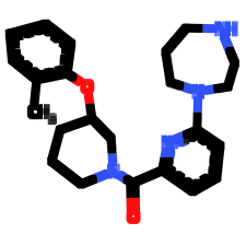 Cc1ccccc1OC1CCCN(C(=O)c2cccc(N3CCCNCC3)n2)C1